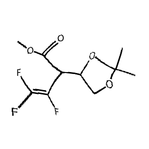 COC(=O)C(C(F)=C(F)F)C1COC(C)(C)O1